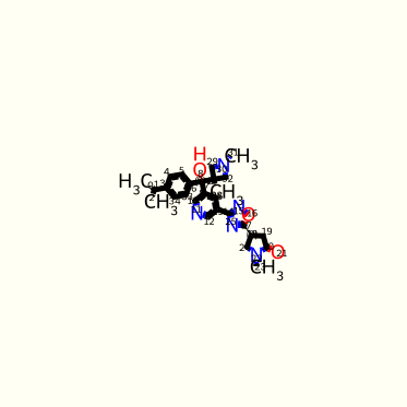 CC(C)c1ccc([C@](O)(c2cncc(-c3noc([C@@H]4CC(=O)N(C)C4)n3)c2)C2(C)CN(C)C2)cc1